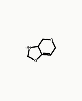 C1=C2OCNC2COC1